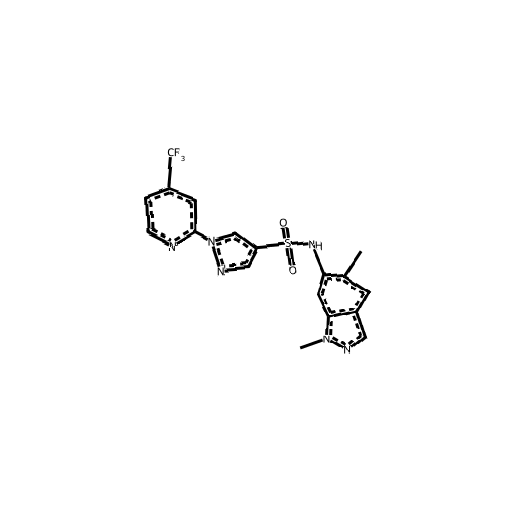 Cc1cc2cnn(C)c2cc1NS(=O)(=O)c1cnn(-c2cc(C(F)(F)F)ccn2)c1